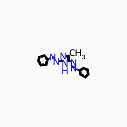 Cc1nc(/N=N/c2ccccc2)[nH]c1/N=N/c1ccccc1